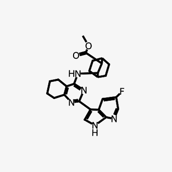 COC(=O)C1C2CCC(CC2)C1Nc1nc(-c2c[nH]c3ncc(F)cc23)nc2c1CCCC2